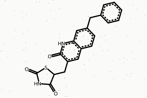 O=C1NC(=O)C(Cc2cc3ccc(Cc4ccccc4)cc3[nH]c2=O)S1